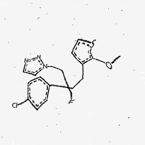 COc1sccc1CC(F)(Cn1ccnn1)c1ccc(Cl)cc1